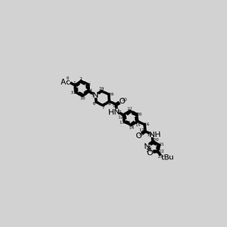 CC(=O)c1ccc(N2CCC(C(=O)Nc3ccc(CC(=O)Nc4cc(C(C)(C)C)on4)cc3)CC2)cc1